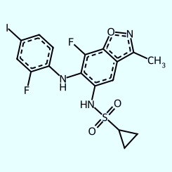 Cc1noc2c(F)c(Nc3ccc(I)cc3F)c(NS(=O)(=O)C3CC3)cc12